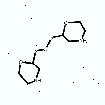 C1COC(SOSC2CNCCO2)CN1